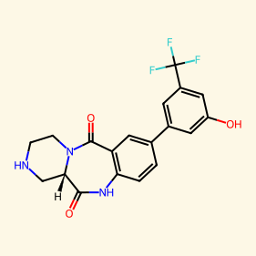 O=C1Nc2ccc(-c3cc(O)cc(C(F)(F)F)c3)cc2C(=O)N2CCNC[C@@H]12